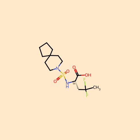 CC(F)(F)C[C@H](NS(=O)(=O)N1CCC2(CCCC2)CC1)C(=O)O